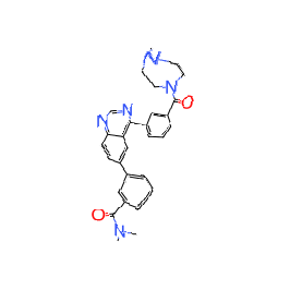 CN1CCN(C(=O)c2cccc(-c3ncnc4ccc(-c5cccc(C(=O)N(C)C)c5)cc34)c2)CC1